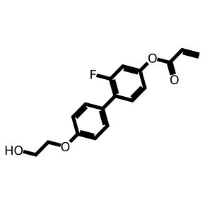 C=CC(=O)Oc1ccc(-c2ccc(OCCO)cc2)c(F)c1